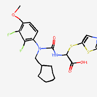 COc1ccc(N(CC2CCCC2)C(=O)NC(Sc2cncs2)C(=O)O)c(F)c1F